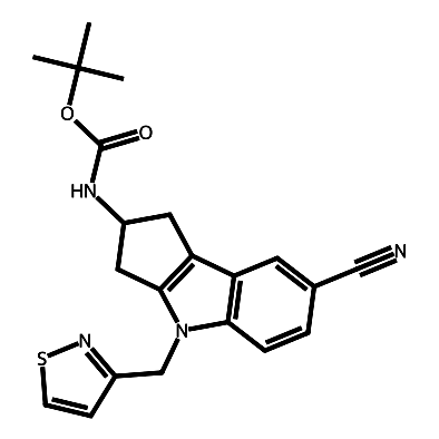 CC(C)(C)OC(=O)NC1Cc2c(n(Cc3ccsn3)c3ccc(C#N)cc23)C1